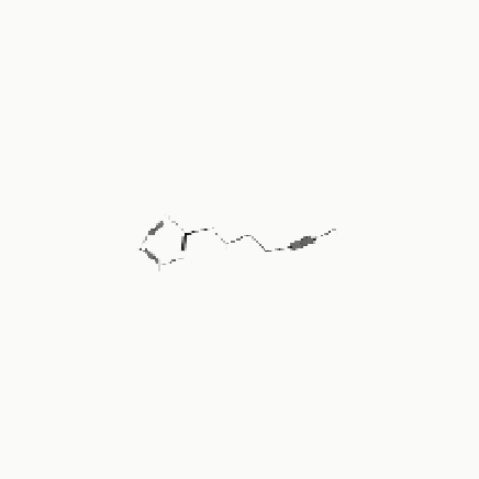 CCC#CCCCCc1ncccn1